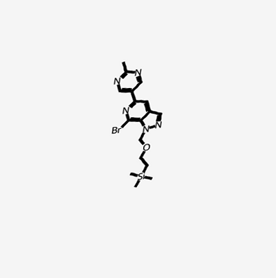 Cc1ncc(-c2cc3cnn(COCC[Si](C)(C)C)c3c(Br)n2)cn1